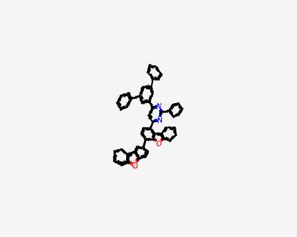 c1ccc(-c2cc(-c3ccccc3)cc(-c3cc(-c4ccc(-c5ccc6oc7ccccc7c6c5)c5oc6ccccc6c45)nc(-c4ccccc4)n3)c2)cc1